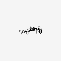 O=C(CCC(F)(F)F)NCc1cnn2cc(CNC(=O)c3cnccn3)nc2c1